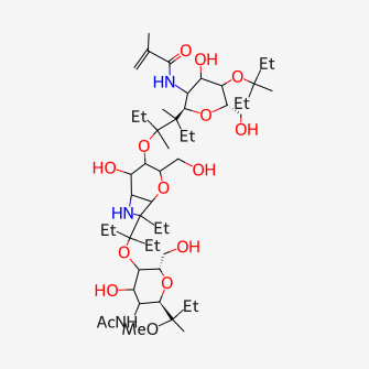 C=C(C)C(=O)NC1C(O)C(OC(C)(CC)CC)[C@H](CO)O[C@H]1C(C)(CC)C(C)(CC)OC1C(CO)OC2C(NC2(CC)C(CC)(CC)OC2C(O)C(NC(C)=O)[C@H](C(C)(CC)OC)O[C@H]2CO)C1O